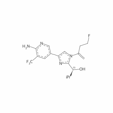 C=C(CCF)n1cc(-c2cnc(N)c(C(F)(F)F)c2)nc1[C@@H](O)C(C)C